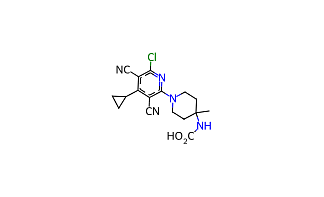 CC1(NC(=O)O)CCN(c2nc(Cl)c(C#N)c(C3CC3)c2C#N)CC1